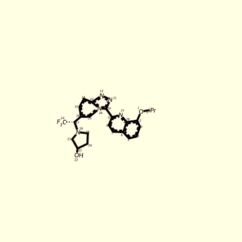 CC(C)Oc1cccc2ccc(-c3nnc4ccc([C@H](N5CCC(O)C5)C(F)(F)F)cn34)nc12